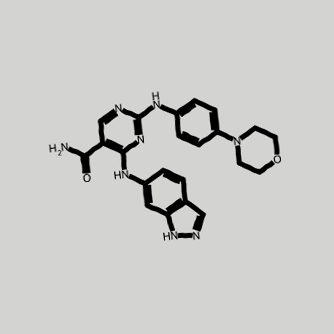 NC(=O)c1cnc(Nc2ccc(N3CCOCC3)cc2)nc1Nc1ccc2cn[nH]c2c1